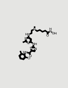 Cc1nc(NCCN(C)CCCCC(=O)NO)cc(Nc2ncc(C(=O)Nc3c(C)cccc3Cl)s2)n1